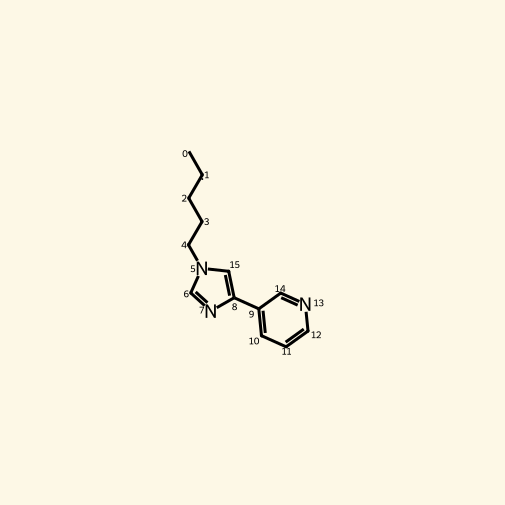 C[CH]CCCn1cnc(-c2cccnc2)c1